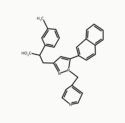 Cc1cccc(C(Cc2cc(-c3ccc4ccccc4c3)n(Cc3ccncc3)n2)C(=O)O)c1